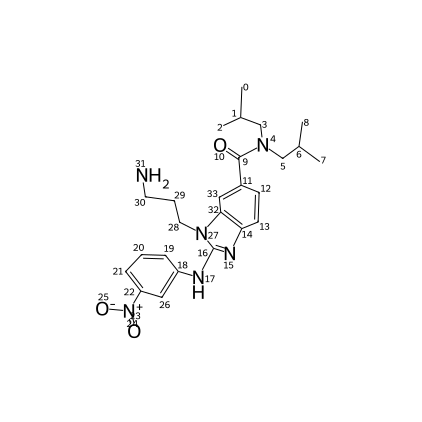 CC(C)CN(CC(C)C)C(=O)c1ccc2nc(Nc3cccc([N+](=O)[O-])c3)n(CCCN)c2c1